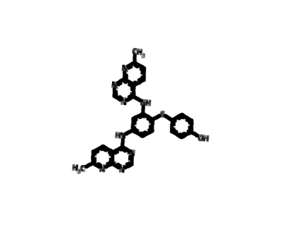 Cc1ccc2c(Nc3ccc(Sc4ccc(O)cc4)c(Nc4ncnc5nc(C)ccc45)c3)ncnc2n1